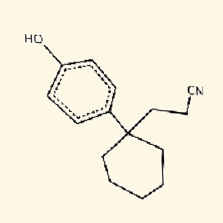 N#CCCC1(c2ccc(O)cc2)CCCCC1